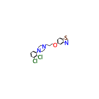 Clc1cccc(N2CCN(CCCOc3ccc4scnc4c3)CC2)c1Cl